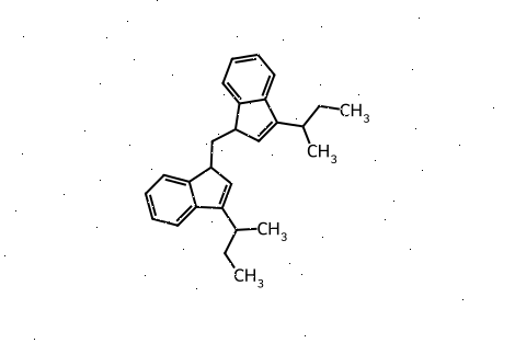 CCC(C)C1=CC(CC2C=C(C(C)CC)c3ccccc32)c2ccccc21